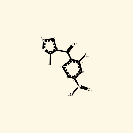 Cc1oncc1C(=O)c1ccc([N+](=O)[O-])cc1Cl